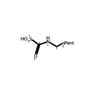 CCCCCCNC(=O)S(=O)(=O)O